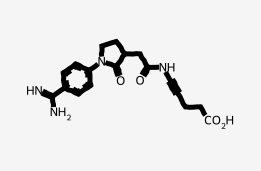 N=C(N)c1ccc(N2CCC(CC(=O)NC#CCCC(=O)O)C2=O)cc1